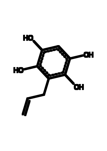 C=CCc1c(O)c(O)cc(O)c1O